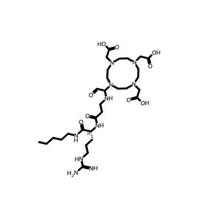 CCCCCNC(=O)[C@@H](CCCNC(=N)N)NC(=O)CCNC(C=O)N1CCN(CC(=O)O)CCN(CC(=O)O)CCN(CC(=O)O)CC1